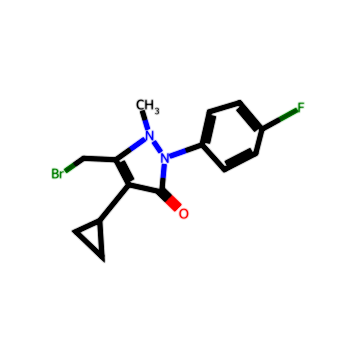 Cn1c(CBr)c(C2CC2)c(=O)n1-c1ccc(F)cc1